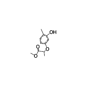 COC(=O)C(C)Oc1ccc(C)c(O)c1